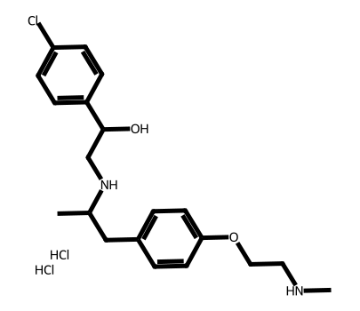 CNCCOc1ccc(CC(C)NCC(O)c2ccc(Cl)cc2)cc1.Cl.Cl